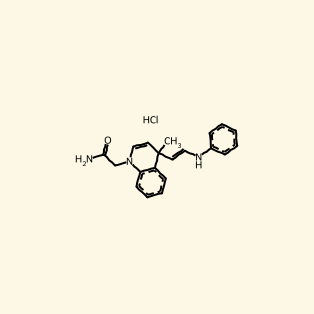 CC1(C=CNc2ccccc2)C=CN(CC(N)=O)c2ccccc21.Cl